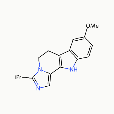 COc1ccc2[nH]c3c(c2c1)CCn1c-3cnc1C(C)C